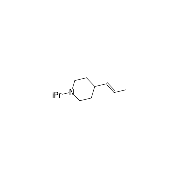 C/C=C/C1CCN(C(C)C)CC1